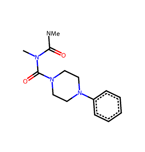 CNC(=O)N(C)C(=O)N1CCN(c2ccccc2)CC1